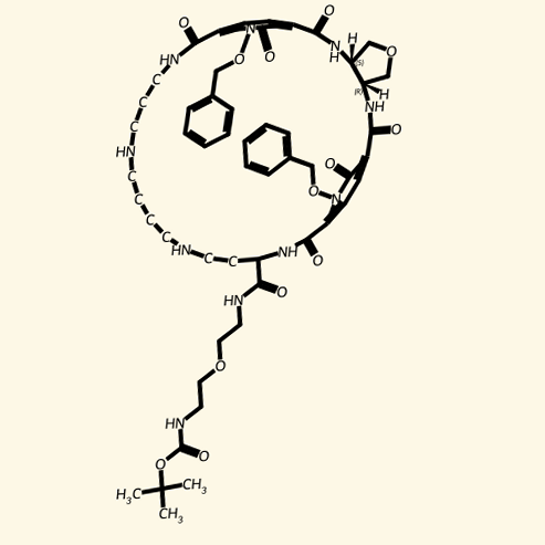 CC(C)(C)OC(=O)NCCOCCNC(=O)C1CCNCCCCNCCCNC(=O)c2ccc(c(=O)n2OCc2ccccc2)C(=O)N[C@@H]2COC[C@@H]2NC(=O)c2ccc(n(OCc3ccccc3)c2=O)C(=O)N1